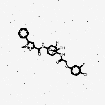 Cn1nc(C(=O)NC23CCC(NC(=O)COc4ccc(Cl)c(F)c4)(CC2)[C@@H](O)C3)cc1-c1ccccc1